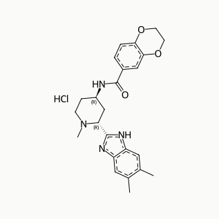 Cc1cc2nc([C@H]3C[C@H](NC(=O)c4ccc5c(c4)OCCO5)CCN3C)[nH]c2cc1C.Cl